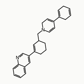 C1=CCC(C2=CCN(CC3C=C(c4cnc5ccccc5c4)CCC3)C=C2)=CC1